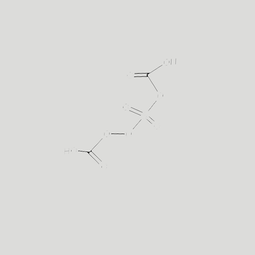 O=C(O)OOS(=O)(=O)OC(=O)O